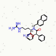 C[C@H](c1ccc2ccccc2c1)N(C(=O)C(c1ccccc1)c1ccccc1)[C@H](CCCNC(=N)N)C(N)=O